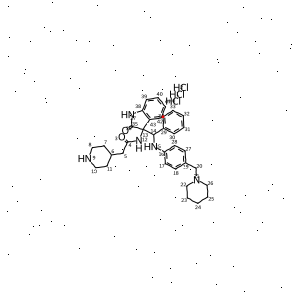 Cl.Cl.Cl.O=C(CC1CCNCC1)NC1(C(Nc2ccc(CN3CCCCC3)cc2)c2ccccc2)C(=O)Nc2ccccc21